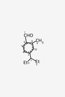 CCC(CC)c1ccc(C=O)c(C)c1